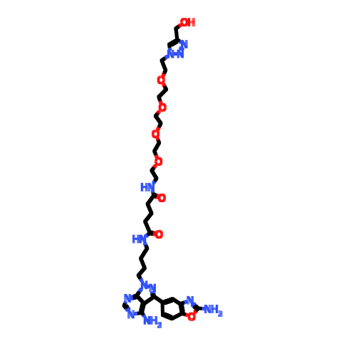 Nc1nc2cc(-c3nn(CCCCNC(=O)CCCC(=O)NCCOCCOCCOCCOCCn4cc(CO)nn4)c4ncnc(N)c34)ccc2o1